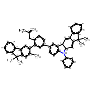 C=C(C)Cc1ccc(-c2ccc3c(c2)C2C=C4C(=CC2N3c2ccccc2)C(C)(C)c2ccccc24)cc1-c1cc2c(cc1C)C(C)(C)c1ccccc1-2